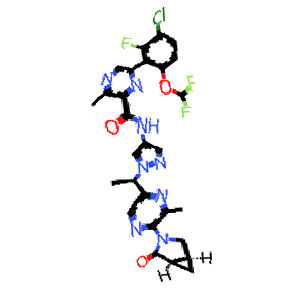 Cc1ncc(-c2c(OC(F)F)ccc(Cl)c2F)nc1C(=O)Nc1cnn(C(C)c2cnc(N3C[C@H]4C[C@H]4C3=O)c(C)n2)c1